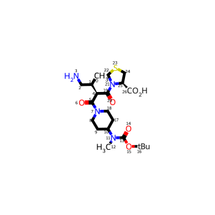 CC(CN)[C@H](C(=O)N1CCC(N(C)C(=O)OC(C)(C)C)CC1)C(=O)N1CSC[C@H]1C(=O)O